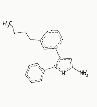 CCCCc1cccc(-c2cc(N)nn2-c2ccccc2)c1